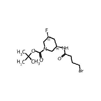 CC(C)(C)OC(=O)N1C[C@@H](F)C[C@@H](NC(=O)CCCBr)C1